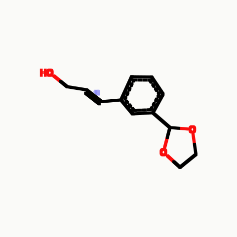 OC/C=C/c1cccc(C2OCCO2)c1